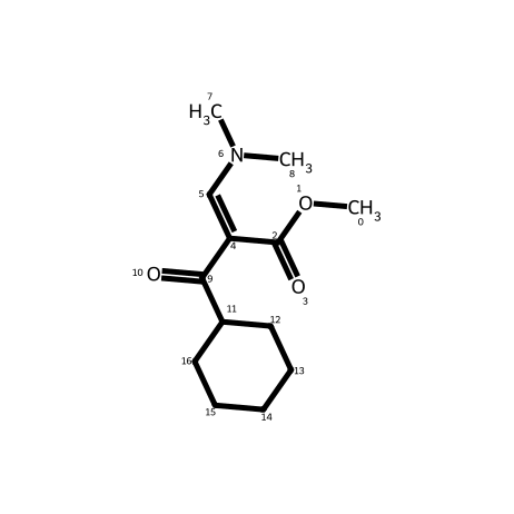 COC(=O)C(=CN(C)C)C(=O)C1CCCCC1